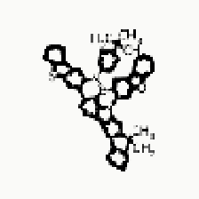 CC(C)(C)c1ccc(N2B3c4cc5c(cc4-n4c6cc7c(cc6c6ccc(c3c64)-c3cc4sc6ccccc6c4cc32)-c2ccccc2C7(C)C)oc2ccccc25)cc1